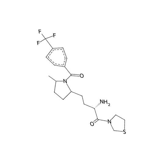 CC1CCC(CC[C@H](N)C(=O)N2CCSC2)N1C(=O)c1ccc(C(F)(F)F)cc1